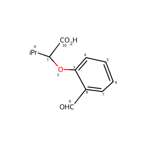 CC(C)C(Oc1ccccc1C=O)C(=O)O